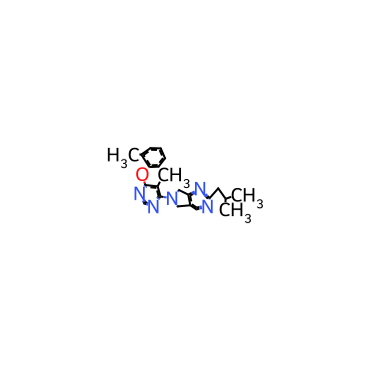 Cc1ccccc1Oc1ncnc(N2Cc3cnc(CC(C)C)nc3C2)c1C